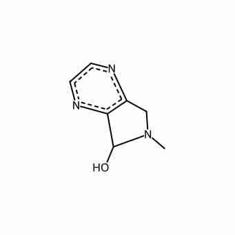 CN1Cc2nccnc2C1O